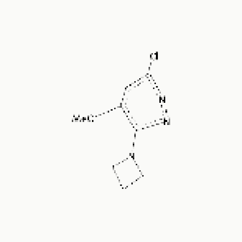 COc1cc(Cl)nnc1N1CCC1